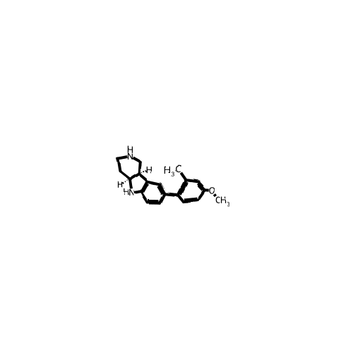 COc1ccc(-c2ccc3c(c2)[C@@H]2CNCC[C@@H]2N3)c(C)c1